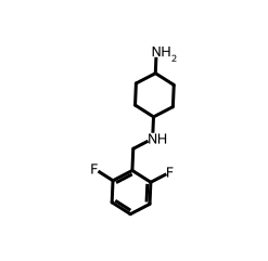 NC1CCC(NCc2c(F)cccc2F)CC1